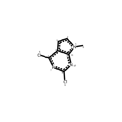 Cn1[c]cc2c(Cl)nc(Cl)nc21